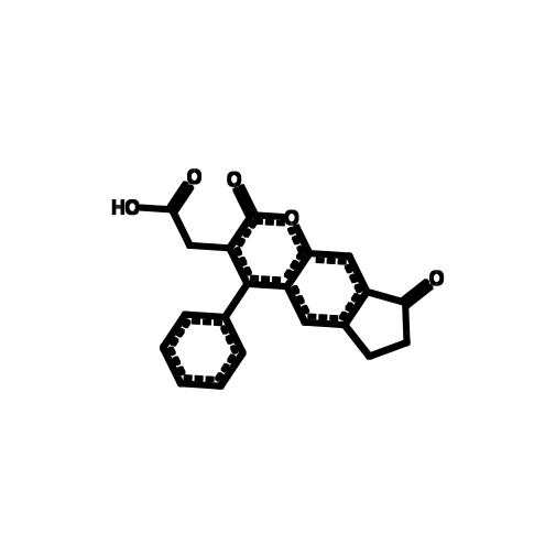 O=C(O)Cc1c(-c2ccccc2)c2cc3c(cc2oc1=O)C(=O)CC3